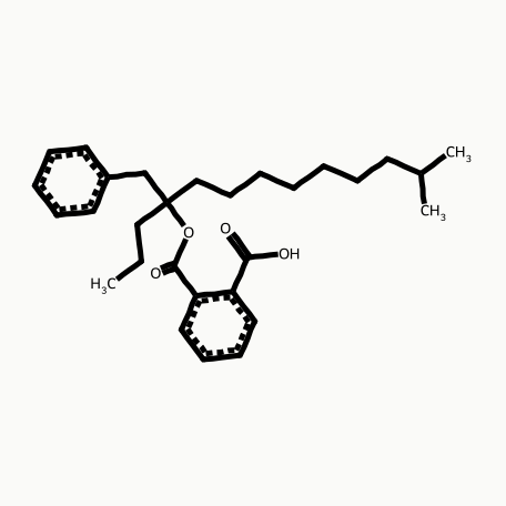 CCCC(CCCCCCCC(C)C)(Cc1ccccc1)OC(=O)c1ccccc1C(=O)O